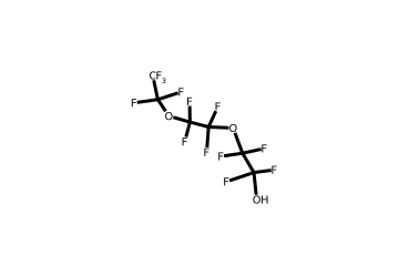 OC(F)(F)C(F)(F)OC(F)(F)C(F)(F)OC(F)(F)C(F)(F)F